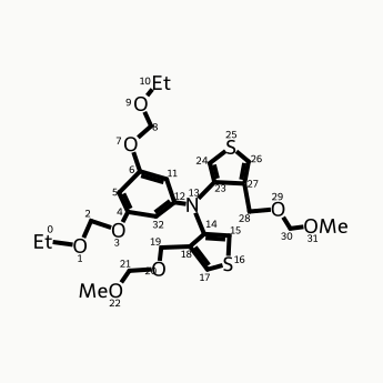 CCOCOc1cc(OCOCC)cc(N(c2cscc2COCOC)c2cscc2COCOC)c1